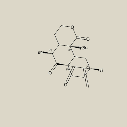 C=C1C(=O)[C@]23CC[C@H]1CC2[C@@]1(CCCC)C(=O)OCCC1[C@H](Br)C3=O